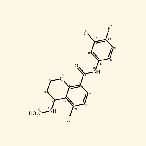 O=C(O)NC1CCOc2c(C(=O)Nc3ccc(F)c(Cl)c3)ccc(F)c21